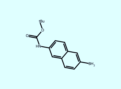 Bc1ccc2cc(NC(=O)OC(C)(C)C)ccc2c1